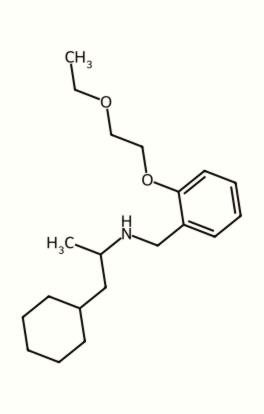 CCOCCOc1ccccc1CNC(C)CC1CCCCC1